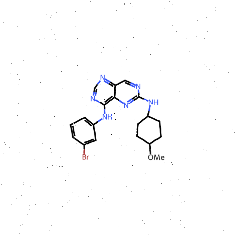 COC1CCC(Nc2ncc3ncnc(Nc4cccc(Br)c4)c3n2)CC1